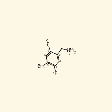 NCc1cc(F)c(Br)cc1F